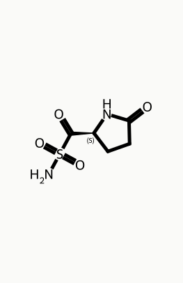 NS(=O)(=O)C(=O)[C@@H]1CCC(=O)N1